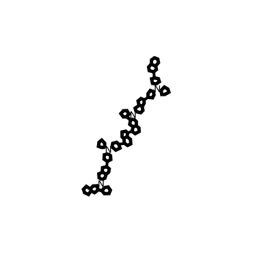 c1ccc(N(c2ccc(-c3ccc4ccccc4c3)cc2)c2ccc(-c3ccc4cc(-n5c6ccccc6c6cc7c(-c8cccc9c(-c%10ccc(N(c%11ccccc%11)c%11ccc(-c%12ccc%13cc(-n%14c%15ccccc%15c%15cc%16ccccc%16cc%15%14)ccc%13c%12)cc%11)cc%10)cccc89)cccc7cc65)ccc4c3)cc2)cc1